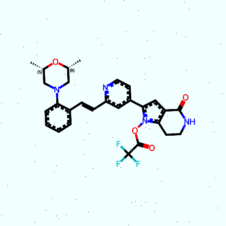 C[C@@H]1CN(c2ccccc2C=Cc2cc(-c3cc4c(n3OC(=O)C(F)(F)F)CCNC4=O)ccn2)C[C@H](C)O1